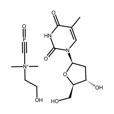 C[N+](C)(C#P=O)CCO.Cc1cn([C@H]2C[C@H](O)[C@@H](CO)O2)c(=O)[nH]c1=O